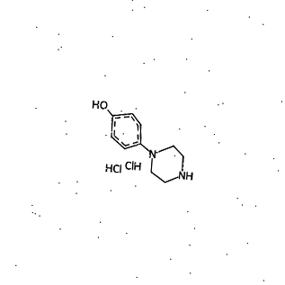 Cl.Cl.Oc1ccc(N2CCNCC2)cc1